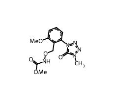 COC(=O)NOCc1c(OC)cccc1-n1nnn(C)c1=O